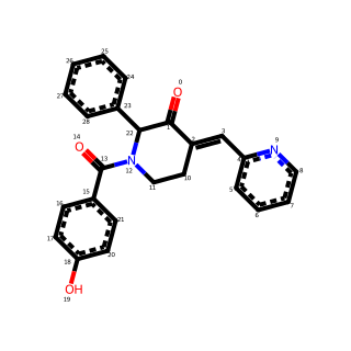 O=C1C(=Cc2ccccn2)CCN(C(=O)c2ccc(O)cc2)C1c1ccccc1